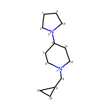 C1CCN(C2CCN(CC3CC3)CC2)C1